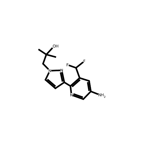 CC(C)(O)Cn1ccc(-c2ncc(N)cc2C(F)F)n1